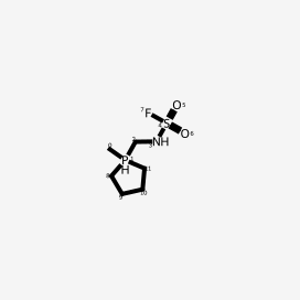 C[PH]1(CNS(=O)(=O)F)CCCC1